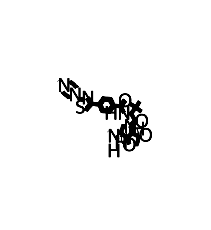 CN[C@H]1CN(C(=O)C(NC(=O)c2ccc(-c3csc(N4CCN(C)CC4)n3)cc2)C(C)(C)C)[C@@H]2C(=O)CO[C@H]12